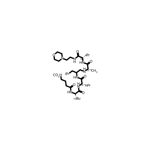 CCC[C@H](NC(=O)C(NC(=O)CCCC(=O)O)[C@@H](C)CC)C(=O)NC(CN[C@@H](C)C(=O)N[C@H](C(=O)NCCN1CCOCC1)C(C)C)CC(C)C